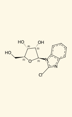 OC[C@@H]1O[C@H](n2c(Cl)nc3ccccc32)[C@@H](O)[C@H]1O